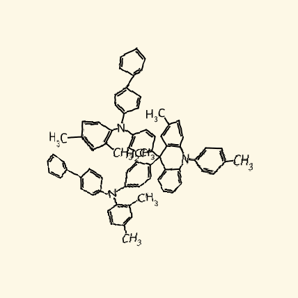 C=C(/C=C\C(=C/C)N(c1ccc(-c2ccccc2)cc1)c1ccc(C)cc1C)C1(c2ccc(N(c3ccc(-c4ccccc4)cc3)c3ccc(C)cc3C)cc2)c2ccccc2N(c2ccc(C)cc2)c2ccc(C)cc21